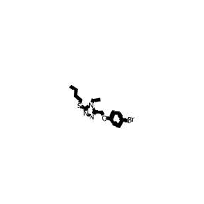 CCCCSc1nnc(COc2ccc(Br)cc2)n1CC